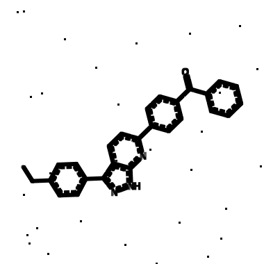 CCc1ccc(-c2n[nH]c3nc(-c4ccc(C(=O)c5ccccc5)cc4)ccc23)cc1